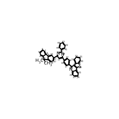 CC1(C)c2ccccc2-c2cc(-c3cc(-c4ccc(-c5nc6ccccc6c6sc7ccccc7c56)cc4)nc(-c4ccccc4)n3)ccc21